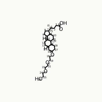 C[C@H](CCC(=O)O)C1CCC2[C@@H]3CC[C@@H]4C[C@@H](OCCOCCOCCO)CC[C@]4(C)C3CC[C@@]21C